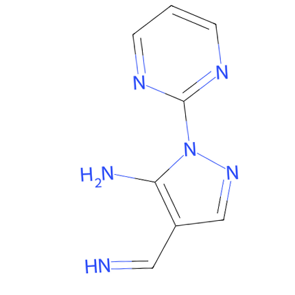 N=Cc1cnn(-c2ncccn2)c1N